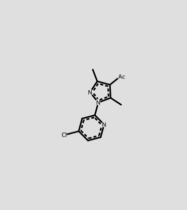 CC(=O)c1c(C)nn(-c2cc(Cl)ccn2)c1C